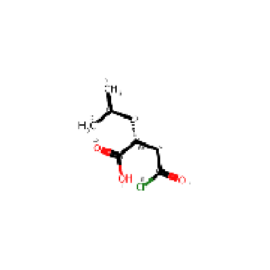 CC(C)C[C@H](CC(=O)Cl)C(=O)O